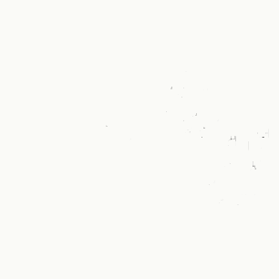 CCCCCCCCCCCCCCC(CC(COP(O)Oc1ccccc1)C(C)(C)C)C(C)(C)C